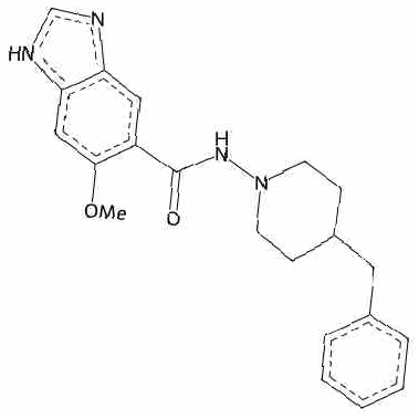 COc1cc2[nH]cnc2cc1C(=O)NN1CCC(Cc2ccccc2)CC1